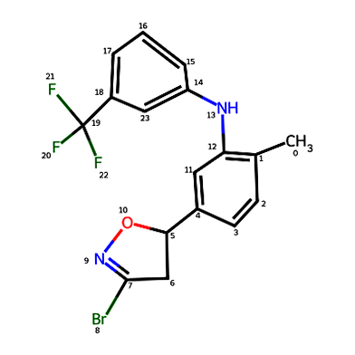 Cc1ccc(C2CC(Br)=NO2)cc1Nc1cccc(C(F)(F)F)c1